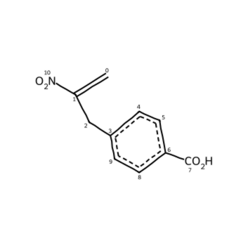 C=C(Cc1ccc(C(=O)O)cc1)[N+](=O)[O-]